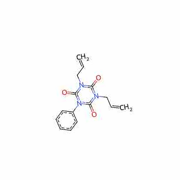 C=CCn1c(=O)n(CC=C)c(=O)n(-c2ccccc2)c1=O